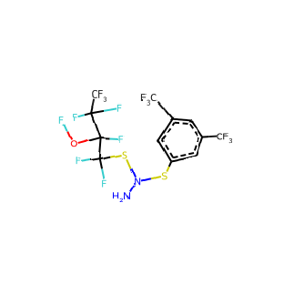 NN(Sc1cc(C(F)(F)F)cc(C(F)(F)F)c1)SC(F)(F)C(F)(OF)C(F)(F)C(F)(F)F